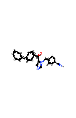 N#Cc1ccc(Cn2cncc2C(=O)c2ccc(-c3ccccc3)cc2)cc1